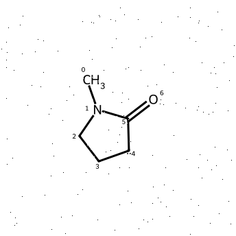 CN1CC[C]C1=O